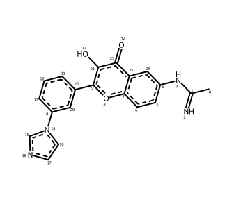 CC(=N)Nc1ccc2oc(-c3cccc(-n4ccnc4)c3)c(O)c(=O)c2c1